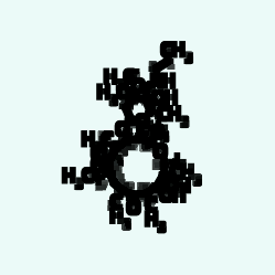 CCCNC[C@@]1(O)[C@H](C)O[C@@H](O[C@H]2[C@H](C)C[C@](CC)(OC)C[C@@H](C)C(=O)[C@H](C)[C@@H](O)[C@](C)(O)[C@@H](I)OC(=O)[C@@H]2C)C[C@@]1(C)OC